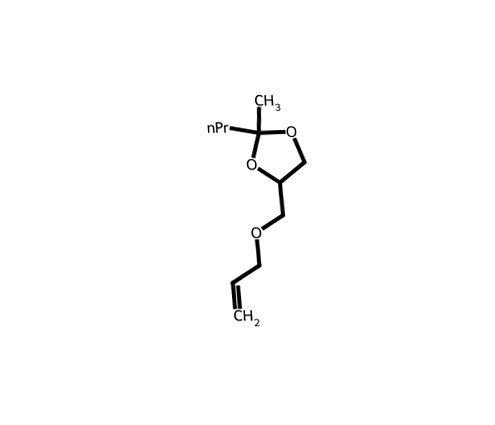 C=CCOCC1COC(C)(CCC)O1